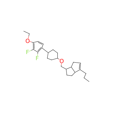 CCCC1=CCC2C(COC3CCC(c4ccc(OCC)c(F)c4F)CC3)CCC12